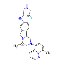 C[C@@H]1CN(c2ccc(C#N)c3ncccc23)CC2c3ccc(NC4CNC[C@H]4F)cc3CN21